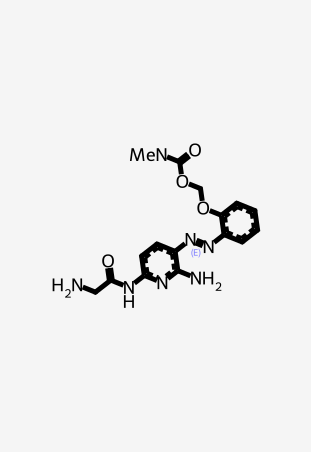 CNC(=O)OCOc1ccccc1/N=N/c1ccc(NC(=O)CN)nc1N